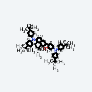 CC(C)(C)c1ccc(N(c2ccc(C(C)(C)C)cc2)c2ccc3c(c2)oc2c4c5c(c(N(c6ccc(C(C)(C)C)cc6)c6ccc(C(C)(C)C)cc6)ccc5cc23)CCC4(C)C)cc1